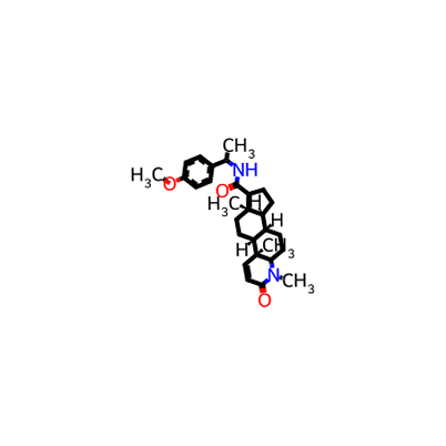 COc1ccc(C(C)NC(=O)C2CC[C@H]3[C@@H]4CCC5N(C)C(=O)C=C[C@]5(C)[C@@H]4CC[C@]23C)cc1